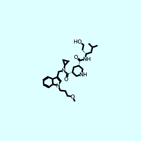 COCCCN1C=C(CN(C(=O)[C@H]2CNC[C@@H](C(=O)N[C@H](CCO)CC(C)C)C2)C2CC2)C2C=CC=CC21